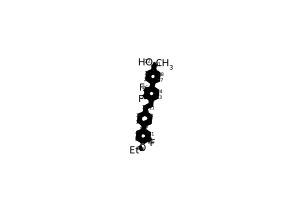 CCOc1ccc(C2=CCC(CCc3ccc(-c4ccc(C(C)O)cc4)c(F)c3F)CC2)cc1F